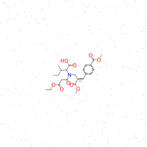 CCOC(=O)CC(=O)N(C/C(=C\c1ccc(C(=O)OC)cc1)C(=O)OC)C(C(=O)O)C(C)CC